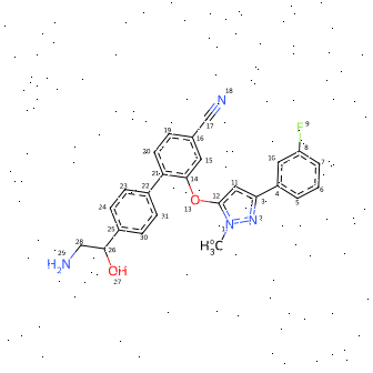 Cn1nc(-c2cccc(F)c2)cc1Oc1cc(C#N)ccc1-c1ccc(C(O)CN)cc1